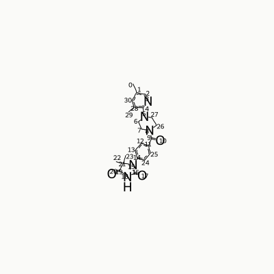 Cc1cnc(N2CCN(C(=O)c3ccc(N4C(=O)NC(=O)C4(C)C)cc3)CC2)c(C)c1